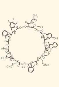 CCCC[C@H]1C(=O)N2C[C@H](O)C[C@@H]2C(=O)N[C@@H](COC=O)C(=O)N[C@@H](C(C)C)C(=O)N(C)[C@@H](Cc2ccccc2)C(=O)N[C@@H](CCOC)C(=O)N2CCOC[C@@H]2C(=O)N[C@@H](Cc2c[nH]c3ccccc23)C(=O)N[C@@H](Cc2ccc(O)cc2)C(=O)N[C@@H](CC(C)C)C(=O)N[C@H](C(=O)NCC(N)=O)CSCC(=O)N[C@@H](Cc2cc(F)c(F)c(F)c2)C(=O)N(C)[C@@H](Cc2ccccc2)C(=O)N1C